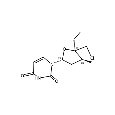 CC[C@@]1(CCl)O[C@@H](n2ccc(=O)[nH]c2=O)C[C@@H]1C